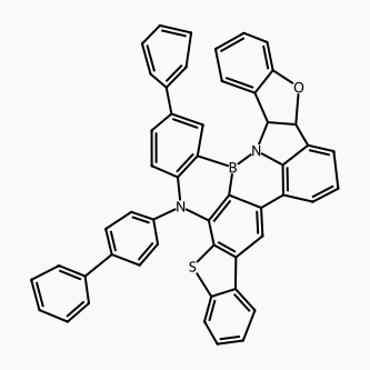 c1ccc(-c2ccc(N3c4ccc(-c5ccccc5)cc4B4c5c(cc6c(sc7ccccc76)c53)-c3cccc5c3N4C3c4ccccc4OC53)cc2)cc1